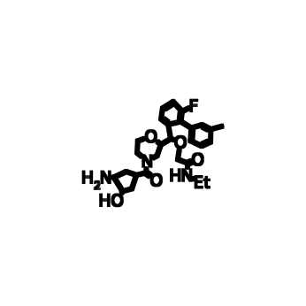 CCNC(=O)COC(c1cccc(F)c1-c1cccc(C)c1)C1CN(C(=O)C2CC(N)C(O)C2)CCO1